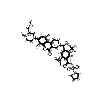 COC[C@H]1CN(c2cc(C)c3c4c(c(=O)oc3c2C)CN(C(=O)c2cc(N(C)C)c(C(=O)NS(=O)(=O)N3CCCC3)cc2C(F)(F)F)CC4)CCN1C